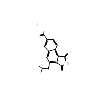 COC(=O)c1ccc2c3c(c(CC(C)C)cc2c1)C(=O)NC3=O